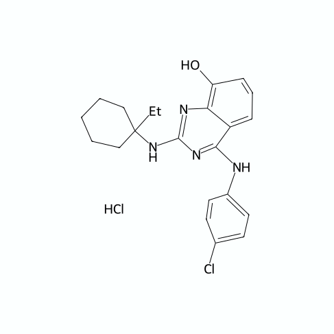 CCC1(Nc2nc(Nc3ccc(Cl)cc3)c3cccc(O)c3n2)CCCCC1.Cl